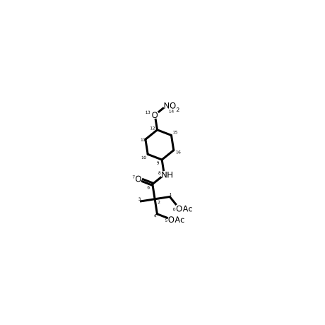 CC(=O)OCC(C)(COC(C)=O)C(=O)NC1CCC(O[N+](=O)[O-])CC1